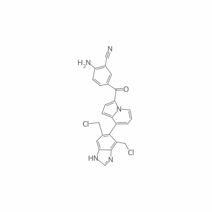 N#Cc1cc(C(=O)c2ccc3c(-c4c(CCl)cc5[nH]cnc5c4CCl)cccn23)ccc1N